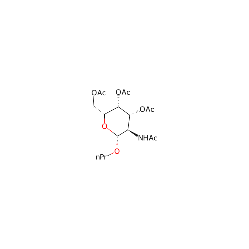 CCCO[C@@H]1O[C@H](COC(C)=O)[C@H](OC(C)=O)[C@H](OC(C)=O)[C@H]1NC(C)=O